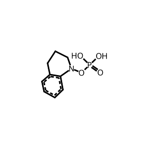 O=P(O)(O)ON1CCCc2ccccc21